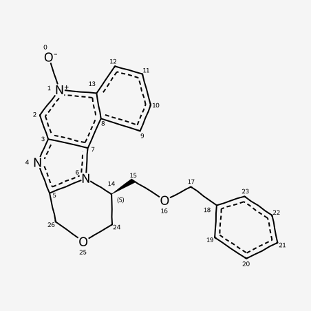 [O-][n+]1cc2nc3n(c2c2ccccc21)[C@@H](COCc1ccccc1)COC3